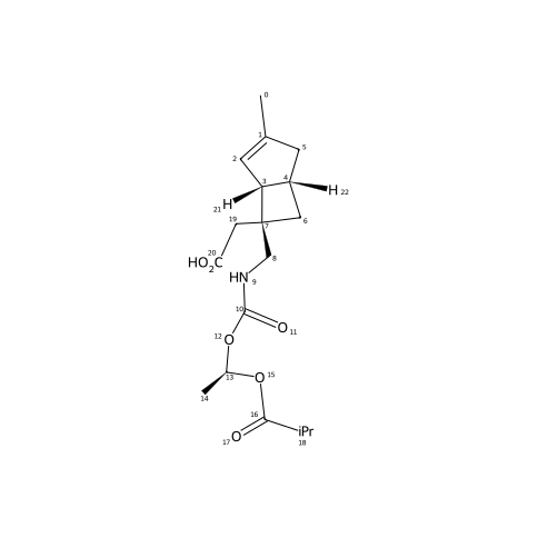 CC1=C[C@@H]2[C@H](C1)C[C@]2(CNC(=O)O[C@H](C)OC(=O)C(C)C)CC(=O)O